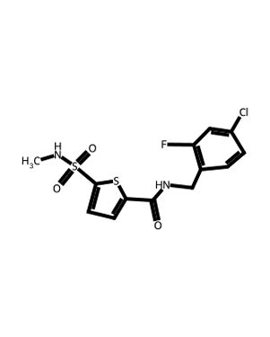 CNS(=O)(=O)c1ccc(C(=O)NCc2ccc(Cl)cc2F)s1